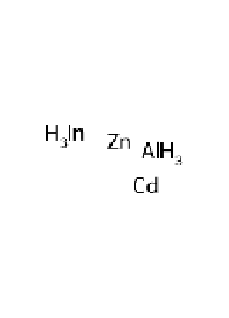 [AlH3].[Cd].[InH3].[Zn]